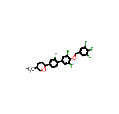 CC1CCC(c2ccc(-c3cc(F)c(OCc4cc(F)c(F)c(F)c4)c(F)c3)c(F)c2)OC1